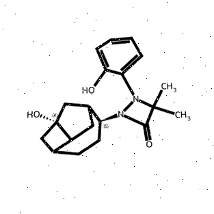 CC1(C)C(=O)N([C@H]2CCC3C[C@@]4(O)CC2CC34)N1c1ccccc1O